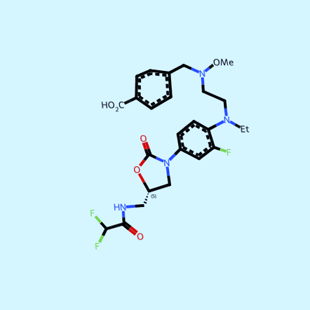 CCN(CCN(Cc1ccc(C(=O)O)cc1)OC)c1ccc(N2C[C@H](CNC(=O)C(F)F)OC2=O)cc1F